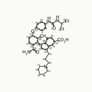 CCC(CC)NC(=O)Nc1ccc(Oc2ccc(C(N)=O)c(-n3cc(CCCN4CCCCC4)c4cc(C(=O)O)ccc43)c2C)cc1